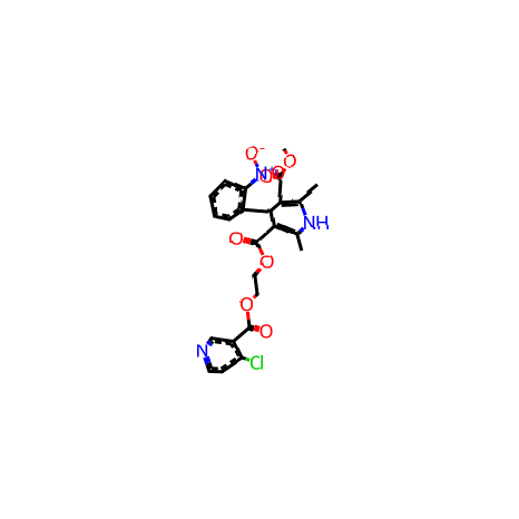 COC(=O)C1=C(C)NC(C)=C(C(=O)OCCOC(=O)c2cnccc2Cl)C1c1ccccc1[N+](=O)[O-]